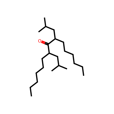 CCCCCCC(CC(C)C)C(=O)C(CCCCCC)CC(C)C